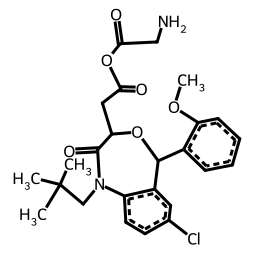 COc1ccccc1C1OC(CC(=O)OC(=O)CN)C(=O)N(CC(C)(C)C)c2ccc(Cl)cc21